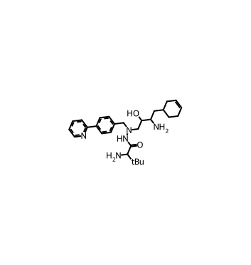 CC(C)(C)C(N)C(=O)NN(Cc1ccc(-c2ccccn2)cc1)CC(O)C(N)CC1CC=CCC1